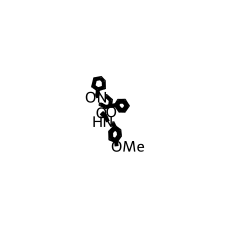 COc1ccc(CNC(=O)OC2(c3ccccc3)CCN(C(=O)C3CCCCC3)CC2)cc1